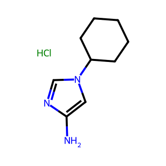 Cl.Nc1cn(C2CCCCC2)cn1